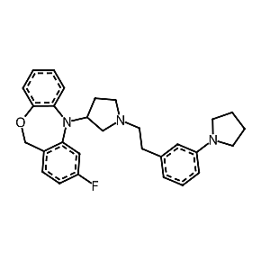 Fc1ccc2c(c1)N(C1CCN(CCc3cccc(N4CCCC4)c3)C1)c1ccccc1OC2